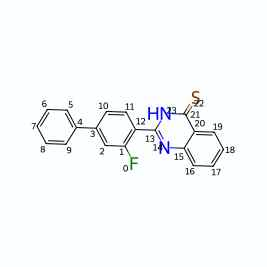 Fc1cc(-c2ccccc2)ccc1-c1nc2ccccc2c(=S)[nH]1